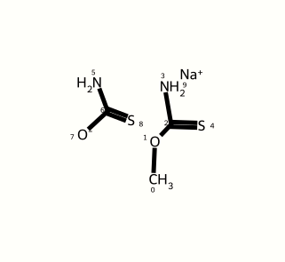 COC(N)=S.NC([O-])=S.[Na+]